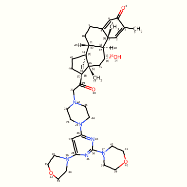 CC1=C[C@@]2(C)C(=CC1=O)CC[C@@H]1[C@@H]2[C@H]([16OH])C[C@]2(C)[C@@H](C(=O)CN3CCN(c4cc(N5CCOCC5)nc(N5CCOCC5)n4)CC3)CC[C@@H]12